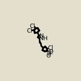 O=[N+]([O-])c1ccc(CC=Cc2cc(-c3ccc(Cl)c(Cl)c3)n[nH]2)cc1Cl